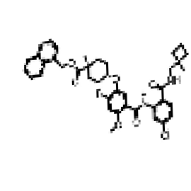 COc1cc(F)c(O[C@H]2CC[C@@](C)(C(=O)OCc3cccc4ccccc34)CC2)cc1C(=O)Nc1cc(Cl)ccc1C(=O)NCC1(C)CCC1